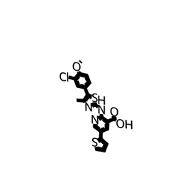 COc1ccc(-c2sc(Nc3ncc(-c4cccs4)cc3C(=O)O)nc2C)cc1Cl